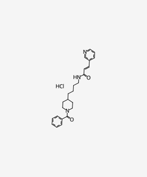 Cl.O=C(/C=C/c1cccnc1)NCCCCC1CCN(C(=O)c2ccccc2)CC1